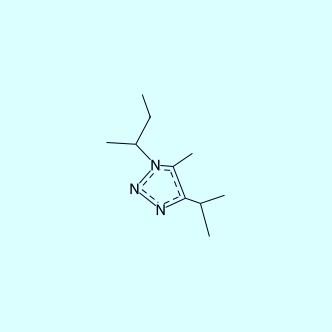 CCC(C)n1nnc(C(C)C)c1C